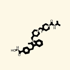 Cc1c(Cc2ccc(C(=O)NO)cc2)c2ccccc2n1CC1CCN(CC2(F)CCN(C(=O)NC(C)C)CC2)CC1